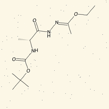 CCO/C(C)=N/NC(=O)[C@@H](C)NC(=O)OC(C)(C)C